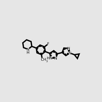 Cc1cc(C2CCCCN2)cc(F)c1-c1cc(-c2cnn(C3CC3)c2)n[nH]1